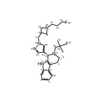 C[C@@H]1Cc2c([nH]c3ccccc23)[C@@H](c2cnn(CC3CN(CCCF)C3)c2)N1CC(C)(C)F